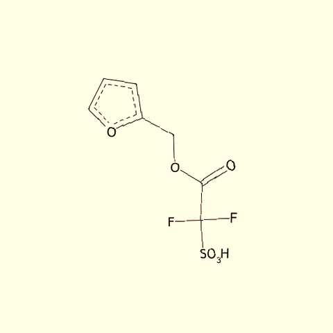 O=C(OCc1ccco1)C(F)(F)S(=O)(=O)O